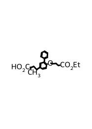 CCOC(=O)CCCOc1ccc(CCC(C)C(=O)O)cc1-c1ccccc1